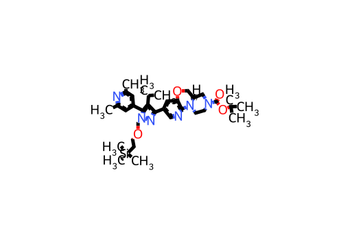 Cc1cc(-c2c(C(C)C)c(-c3cnc4c(c3)OC[C@@H]3CN(C(=O)OC(C)(C)C)CCN43)nn2COCC[Si](C)(C)C)cc(C)n1